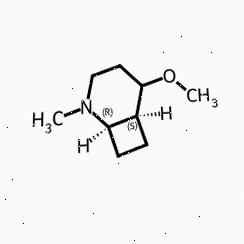 COC1CCN(C)[C@@H]2CC[C@H]12